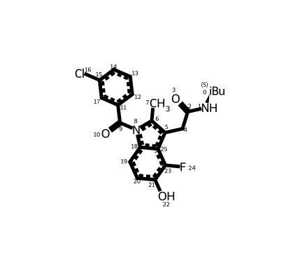 CC[C@H](C)NC(=O)Cc1c(C)n(C(=O)c2cccc(Cl)c2)c2ccc(O)c(F)c12